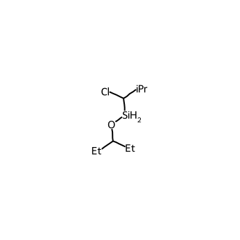 CCC(CC)O[SiH2]C(Cl)C(C)C